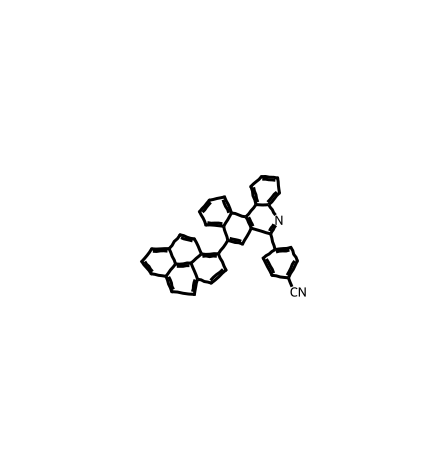 N#Cc1ccc(-c2nc3ccccc3c3c2cc(-c2ccc4ccc5cccc6ccc2c4c56)c2ccccc23)cc1